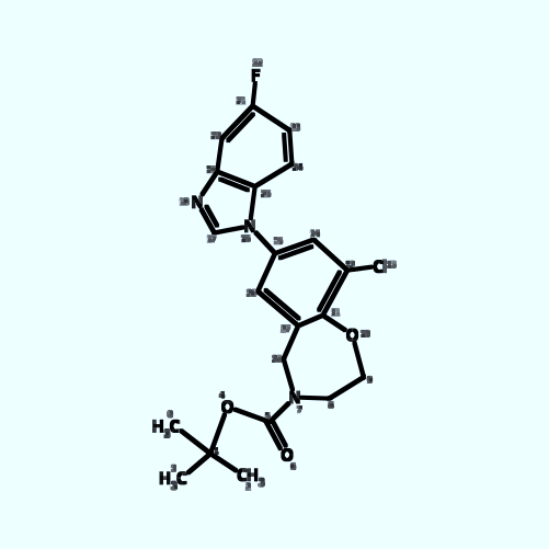 CC(C)(C)OC(=O)N1CCOc2c(Cl)cc(-n3cnc4cc(F)ccc43)cc2C1